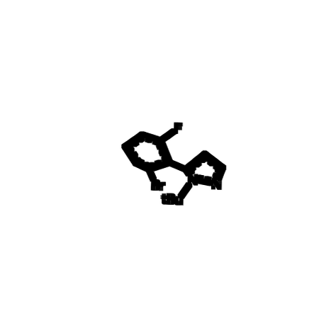 CC(C)(C)n1nccc1-c1c(F)cccc1Br